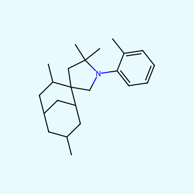 Cc1ccccc1N1CC2(CC1(C)C)C(C)CC1CC(C)CC2C1